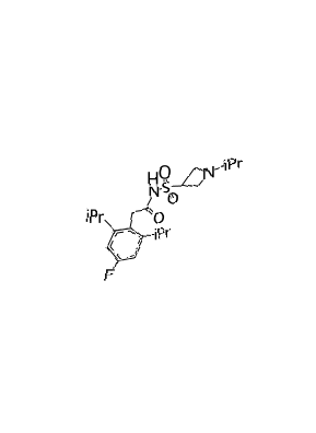 CC(C)c1cc(F)cc(C(C)C)c1CC(=O)NS(=O)(=O)C1CN(C(C)C)C1